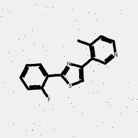 Cc1ccncc1-c1csc(-c2ccccc2F)n1